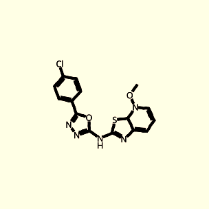 CON1C=CC=C2N=C(Nc3nnc(-c4ccc(Cl)cc4)o3)SC21